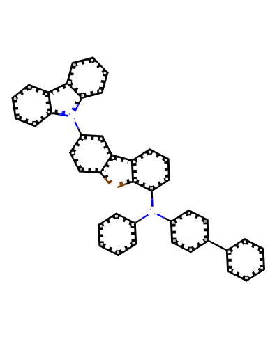 c1ccc(-c2ccc(N(c3ccccc3)c3cccc4c3sc3ccc(-n5c6ccccc6c6ccccc65)cc34)cc2)cc1